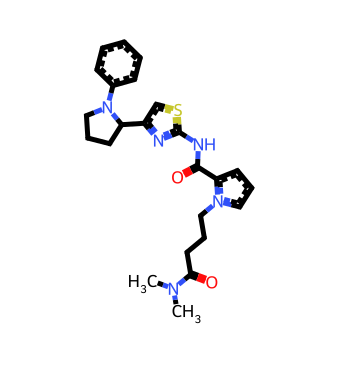 CN(C)C(=O)CCCn1cccc1C(=O)Nc1nc(C2CCCN2c2ccccc2)cs1